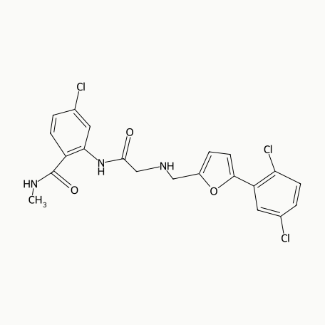 CNC(=O)c1ccc(Cl)cc1NC(=O)CNCc1ccc(-c2cc(Cl)ccc2Cl)o1